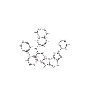 c1ccc(-c2nc3c(ccc4oc5ccc(N(c6ccc7ccccc7c6)c6ccccc6-c6ccccc6)cc5c43)o2)cc1